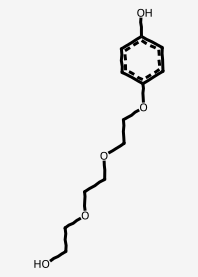 OCCOCCOCCOc1ccc(O)cc1